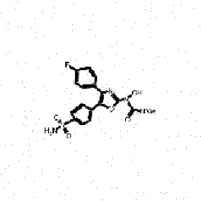 CNC(=O)N(O)c1nc(-c2ccc(F)cc2)c(-c2ccc(S(N)(=O)=O)cc2)o1